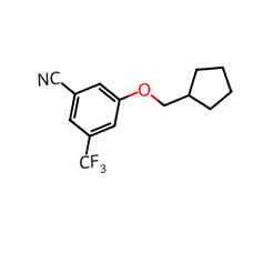 N#Cc1cc(OCC2CCCC2)cc(C(F)(F)F)c1